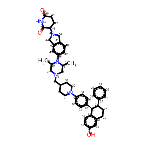 CC1CN(CC2CCN(c3ccc([C@@H]4c5ccc(O)cc5CC[C@@H]4c4ccccc4)cc3)CC2)CC(C)N1c1ccc2c(c1)CN(C1CCC(=O)NC1=O)C2